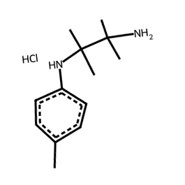 Cc1ccc(NC(C)(C)C(C)(C)N)cc1.Cl